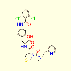 CN(CCc1ccccn1)C(=O)N1CSC[C@@H]1C(=O)N[C@@H](Cc1ccc(NC(=O)c2c(Cl)cccc2Cl)cc1)C(=O)O